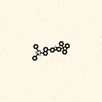 c1ccc(-c2nc(-c3ccccc3)nc(-c3cccc4c(-c5ccc6c(c5)sc5cc(C7(c8ccccc8)c8ccccc8-c8ccccc87)ccc56)cccc34)n2)cc1